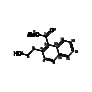 COC(=O)c1c(CCO)ccc2ccccc12